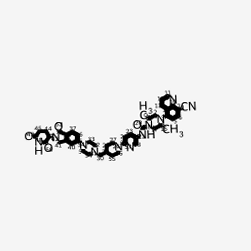 C[C@@H]1CN(c2ccc(C#N)c3ncccc23)[C@@H](C)CN1C(=O)Nc1ccc(N2CCC(CN3CCN(c4ccc5c(c4)CN([C@H]4CCC(=O)NC4=O)C5=O)CC3)CC2)nc1